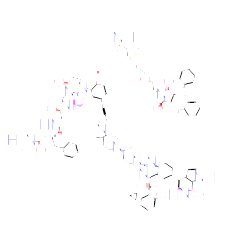 COc1ccc(C#CCNC2(C)CCN(C3CCN(c4nc([C@@](CO)(OC5CC5)c5ccccc5)c5cc(-c6cn(C)c(=O)c7[nH]ccc67)ccc5n4)CC3)CC2)cc1N1CCC(=O)N(CNC(=O)CNC(=O)[C@H](CC(N)=O)Cc2ccccc2)C1=O.NC(=O)CCOCCOCCN1C(=O)C(Sc2ccccc2)=C(Sc2ccccc2)C1=O